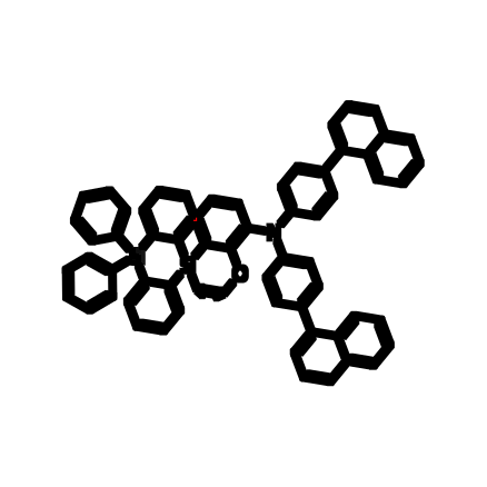 c1ccc([Si]2(c3ccccc3)c3ccccc3[Si]3(c4ccccc4Oc4c(N(c5ccc(-c6cccc7ccccc67)cc5)c5ccc(-c6cccc7ccccc67)cc5)cccc43)c3ccccc32)cc1